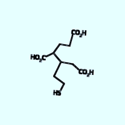 O=C(O)CCC(C(=O)O)C(CCS)CC(=O)O